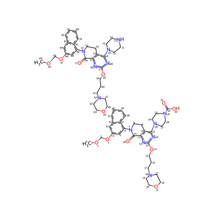 COCOc1cc(N2CCc3c(nc(OCCCN4CCOCC4)nc3N3CCN(C(=O)O)CC3)C2=O)c2ccccc2c1.COCOc1cc(N2CCc3c(nc(OCCCN4CCOCC4)nc3N3CCNCC3)C2=O)c2ccccc2c1